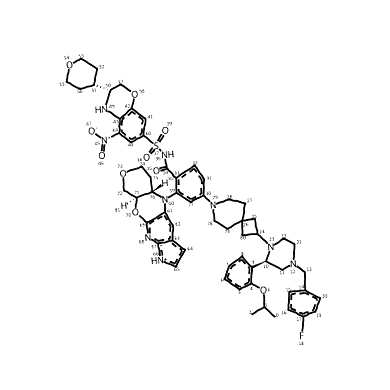 CC(C)Oc1ccccc1[C@@H]1CN(Cc2ccc(F)cc2)CCN1C1CC2(CCN(c3ccc(C(=O)NS(=O)(=O)c4cc5c(c([N+](=O)[O-])c4)N[C@H](C4CCOCC4)CO5)c(N4c5cc6cc[nH]c6nc5O[C@H]5COCC[C@@H]54)c3)CC2)C1